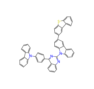 c1ccc2c(-c3ccc(-n4c5ccccc5c5ccccc54)cc3)nc(-n3c4ccccc4c4cc(-c5ccc6sc7ccccc7c6c5)ccc43)nc2c1